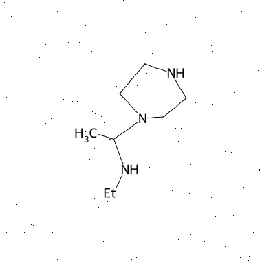 CCN[C](C)N1CCNCC1